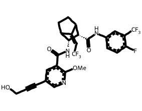 COc1ncc(C#CCO)cc1C(=O)N[C@@H]1C2CCC(/C2=C/C(F)(F)F)[C@@H]1C(=O)Nc1ccc(F)c(C(F)(F)F)c1